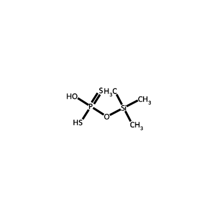 C[Si](C)(C)OP(O)(=S)S